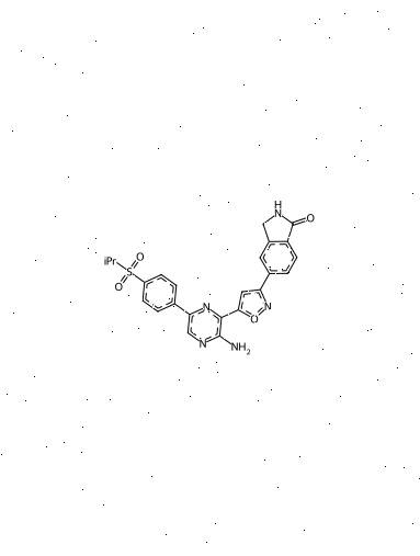 CC(C)S(=O)(=O)c1ccc(-c2cnc(N)c(-c3cc(-c4ccc5c(c4)CNC5=O)no3)n2)cc1